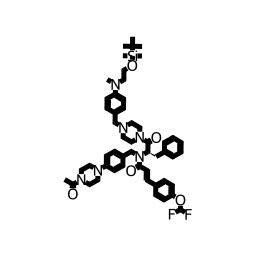 CC(=O)N1CCN(c2ccc(CN(C(=O)C=Cc3ccc(OC(F)F)cc3)[C@@H](Cc3ccccc3)C(=O)N3CCN(Cc4ccc(N(C)CCO[Si](C)(C)C(C)(C)C)cc4)CC3)cc2)CC1